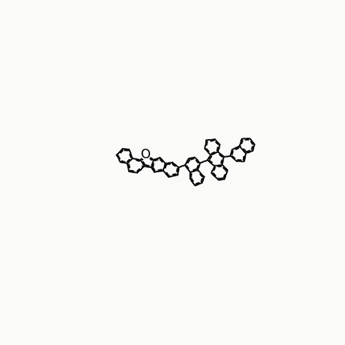 c1ccc2cc(-c3c4ccccc4c(-c4ccc(-c5ccc6cc7c(cc6c5)oc5c6ccccc6ccc75)c5ccccc45)c4ccccc34)ccc2c1